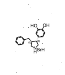 Br.Oc1ccc([C@@H]2CNC[C@H]2Cc2ccccc2)cc1O